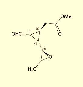 COC(=O)C[C@@H]1[C@@H](C=O)[C@H]1[C@H]1OC1C